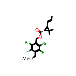 CC=C[C@@H]1[C@@H](C(=O)OCc2c(Br)c(F)c(COC)c(F)c2Br)C1(C)C